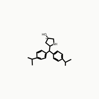 CC(C)c1ccc(C(c2ccc(C(C)C)cc2)C2C[C@@H](O)CN2)cc1